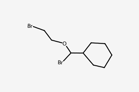 BrCCOC(Br)C1CCCCC1